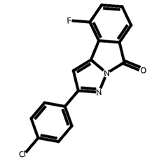 O=C1c2cccc(F)c2-c2cc(-c3ccc(Cl)cc3)nn21